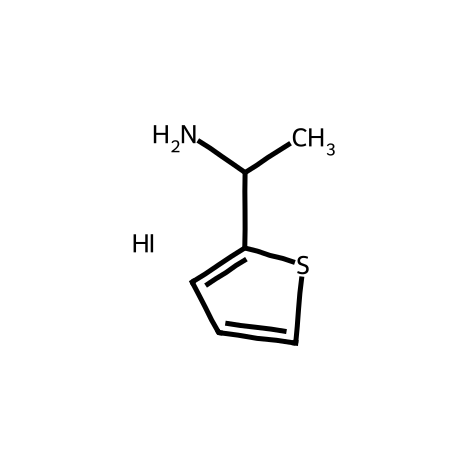 CC(N)c1cccs1.I